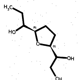 CCC(O)[C@@H]1CC[C@H](C(O)CC)O1